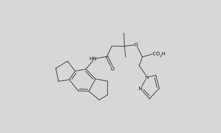 CC(C)(CC(=O)Nc1c2c(cc3c1CCC3)CCC2)OC(Cn1cccn1)C(=O)O